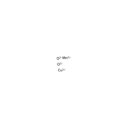 [Cu+2].[Mn+2].[O-2].[O-2]